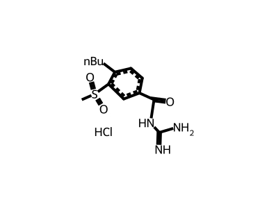 CCCCc1ccc(C(=O)NC(=N)N)cc1S(C)(=O)=O.Cl